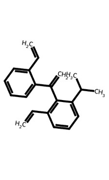 C=Cc1ccccc1C(=C)c1c(C=C)cccc1C(C)C